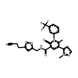 Cc1c(-c2ccnn2C)cc(C(=O)NCc2cc(CCC#N)no2)c(=O)n1-c1cccc(C(F)(F)F)c1